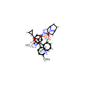 COc1ccc(-c2cc(NC(=O)N3C4CCC3CC(OCc3c(-c5c(Cl)cccc5Cl)noc3C3CC3)C4)ccc2C(=O)O)cn1